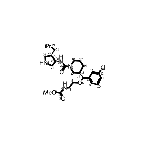 COC(=O)NCCOC(c1cccc(Cl)c1)[C@@H]1CCCN(C(=O)N[C@H]2CNC[C@H]2CC(C)C)C1